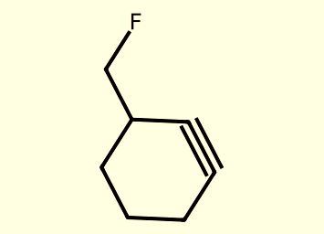 FCC1C#CCCC1